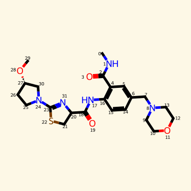 CNC(=O)c1cc(CN2CCOCC2)ccc1NC(=O)C1CSC(N2CC[C@H](OC)C2)=N1